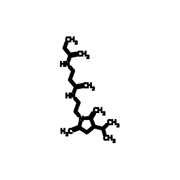 C=C(CC)NCCC(=C)NCCN1C(=C)CC(C(C)C)C1=C